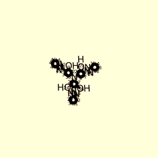 Oc1cc(N(c2ccc(-n3nc4ccccc4n3)c(O)c2)c2cc(O)c(-n3nc4ccccc4n3)c(O)c2)ccc1-c1cn2ccccc2n1